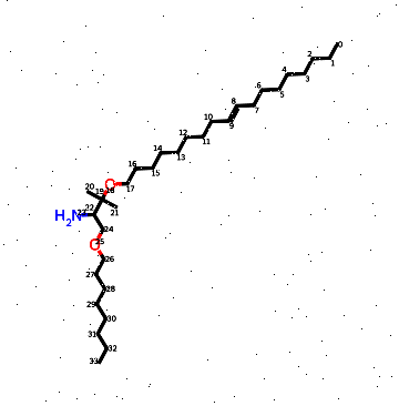 CCCCCCCCC=CCCCCCCCCOC(C)(C)C(N)COCCCCCCCC